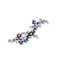 COC(=O)NCC(=O)N1CCC[C@H]1c1ncc(-c2cc3c(C)c4sc(-c5cnc([C@@H]6CCCN6C(=O)C(NC(=O)OC)C6CCOCC6)[nH]5)cc4c(C)c3s2)[nH]1